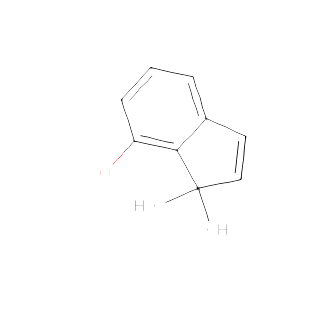 CC1(C)C=Cc2cccc(O)c21